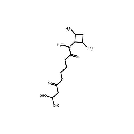 CN(C(=O)CCCOC(=O)CC(C=O)C=O)C1C(N)CC1C(=O)O